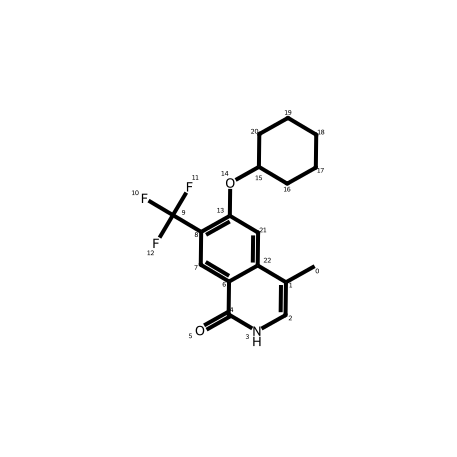 Cc1c[nH]c(=O)c2cc(C(F)(F)F)c(OC3CCCCC3)cc12